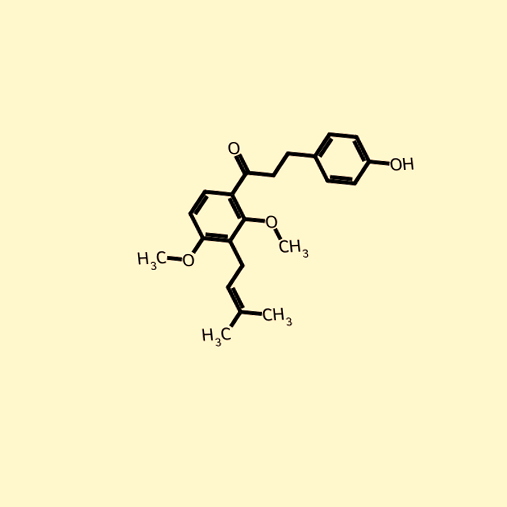 COc1ccc(C(=O)CCc2ccc(O)cc2)c(OC)c1CC=C(C)C